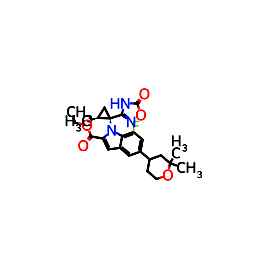 CCOC(=O)c1cc2cc(C3CCOC(C)(C)C3)cc(F)c2n1[C@@]1(c2noc(=O)[nH]2)C[C@@H]1C